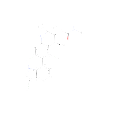 CC(C)NC(=O)OC1[C@@H](C)c2c(cc(F)c(-c3cccc4c(Cl)c[nH]c34)c2F)NC1(C)C